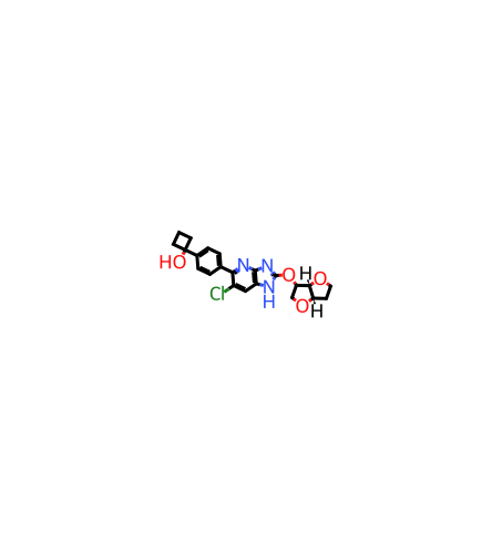 OC1(c2ccc(-c3nc4nc(OC5CO[C@@H]6CCO[C@H]56)[nH]c4cc3Cl)cc2)CCC1